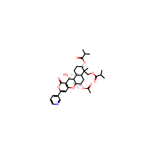 CC(=O)O[C@H]1CC2C(C)(COC(=O)C(C)C)[C@@H](OC(=O)C(C)C)CC[C@]2(C)C2[C@@H](O)c3c(cc(-c4cccnc4)oc3=O)O[C@@]21C